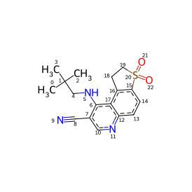 CC(C)(C)CNc1c(C#N)cnc2ccc3c(c12)CCS3(=O)=O